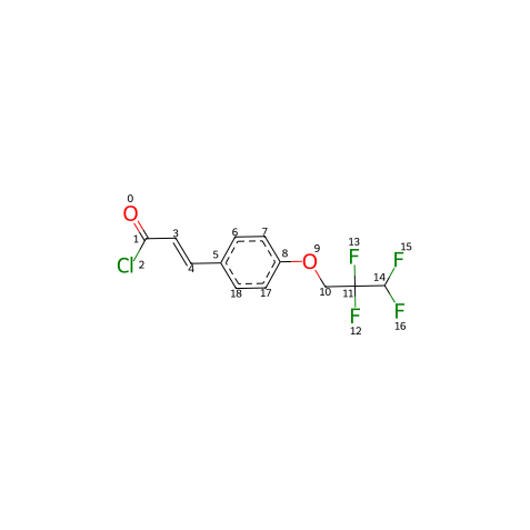 O=C(Cl)C=Cc1ccc(OCC(F)(F)C(F)F)cc1